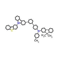 Cc1ccc(N(c2ccc(-c3cccc(-c4ccc5c(c4)c4ccccc4n5-c4ccc5sc6ccccc6c5c4)c3)cc2)c2ccc3c(c2)C(C)(C)c2ccccc2-3)cc1